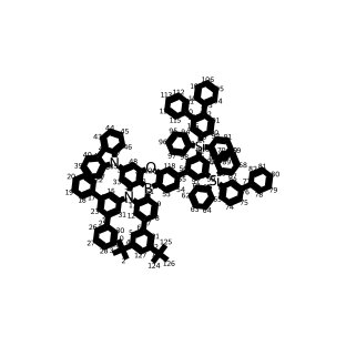 CC(C)(C)c1cc(-c2ccc3c(c2)N(c2cc(-c4ccccc4)cc(-c4ccccc4)c2)c2cc(-n4c5ccccc5c5ccccc54)cc4c2B3c2ccc(-c3cc([Si](c5ccccc5)(c5ccccc5)c5cccc(-c6ccccc6)c5)cc([Si](c5ccccc5)(c5ccccc5)c5ccc(-c6ccccc6)c(-c6ccccc6)c5)c3)cc2O4)cc(C(C)(C)C)c1